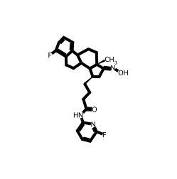 C[C@]12CCC3c4cccc(F)c4CCC3C1[C@H](CCCC(=O)Nc1cccc(F)n1)C/C2=N\O